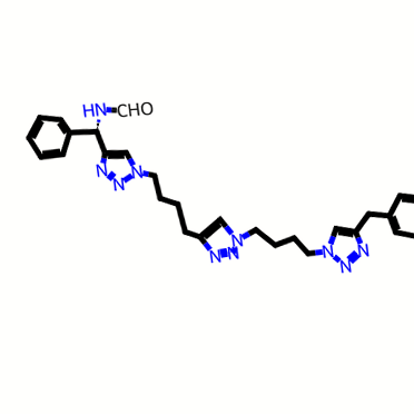 O=CN[C@@H](c1ccccc1)c1cn(CCCCc2cn(CCCCn3cc(Cc4ccccc4)nn3)nn2)nn1